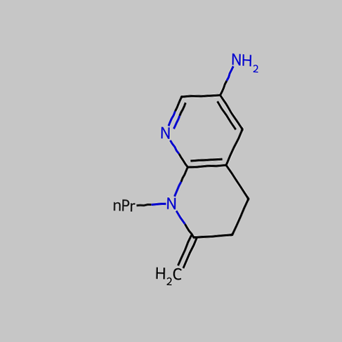 C=C1CCc2cc(N)cnc2N1CCC